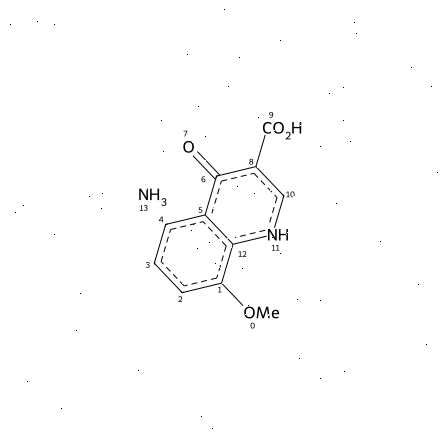 COc1cccc2c(=O)c(C(=O)O)c[nH]c12.N